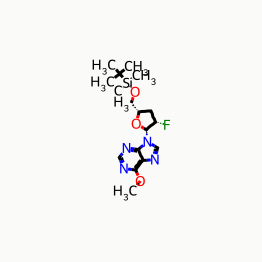 COc1ncnc2c1ncn2[C@@H]1O[C@H](CO[Si](C)(C)C(C)(C)C)C[C@@H]1F